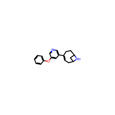 C1=C(c2cncc(Oc3ccccc3)c2)CCC2CC(C1)N2